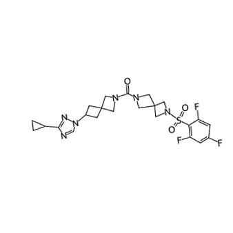 O=C(N1CC2(CC(n3cnc(C4CC4)n3)C2)C1)N1CC2(C1)CN(S(=O)(=O)c1c(F)cc(F)cc1F)C2